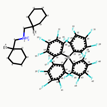 CCC1(C[NH2+]CC2(CC)CCCCC2)CCCCC1.Fc1c(F)c(F)c([B-](c2c(F)c(F)c(F)c(F)c2F)(c2c(F)c(F)c(F)c(F)c2F)c2c(F)c(F)c(F)c(F)c2F)c(F)c1F